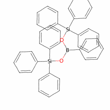 c1ccc(B(O[Si](c2ccccc2)(c2ccccc2)c2ccccc2)O[Si](c2ccccc2)(c2ccccc2)c2ccccc2)cc1